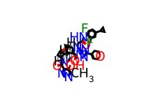 Cc1ncnc(C(=O)N2CC[C@]3(c4c(n(CC(=O)Nc5c(F)cc(C6CC6)cc5F)c5nc(C6=CCOCC6)nn5c4=O)[C@H]4C[C@H]43)[C@@H]3CC[C@@H]32)c1O